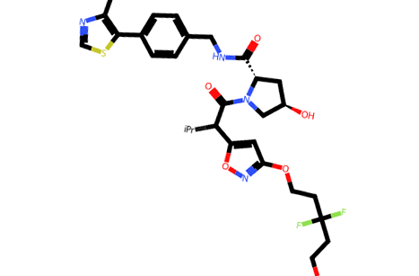 Cc1ncsc1-c1ccc(CNC(=O)[C@@H]2C[C@@H](O)CN2C(=O)C(c2cc(OCCC(F)(F)CCO)no2)C(C)C)cc1